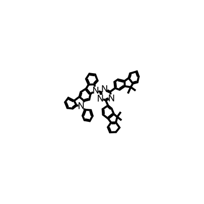 CC1(C)C2=C(C=CCC2)c2ccc(-c3nc(-c4ccc5c(c4)C(C)(C)c4ccccc4-5)nc(-n4c5ccccc5c5cc6c7ccccc7n(-c7ccccc7)c6cc54)n3)cc21